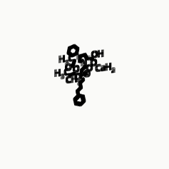 CCC(=O)O[C@H](O[P@](=O)(CCCCc1ccccc1)CC(=O)N1C[C@H](C2CCCCC2)C[C@H]1C(=O)O)C(C)C.[CaH2]